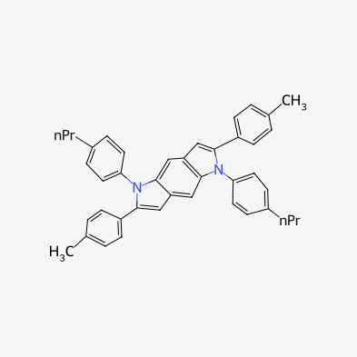 CCCc1ccc(-n2c(-c3ccc(C)cc3)cc3cc4c(cc(-c5ccc(C)cc5)n4-c4ccc(CCC)cc4)cc32)cc1